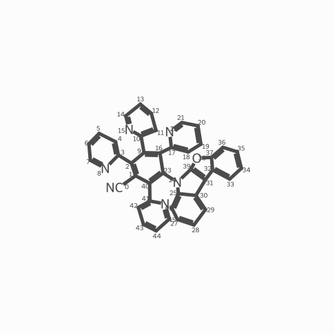 N#Cc1c(-c2ccccn2)c(-c2ccccn2)c(-c2ccccn2)c(-n2c3ccccc3c3c4ccccc4oc32)c1-c1ccccn1